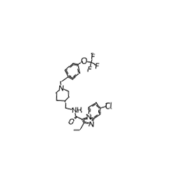 CCc1nc2cc(Cl)ccn2c1C(=O)NCC1CCN(Cc2ccc(OC(F)(F)F)cc2)CC1